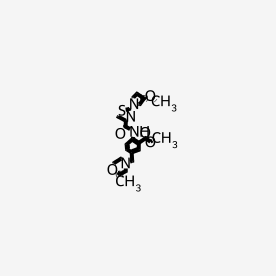 COC(=O)c1cc(CN2CCO[C@@H](C)C2)ccc1NC(=O)C1CSC(N2CC[C@H](OC)C2)=N1